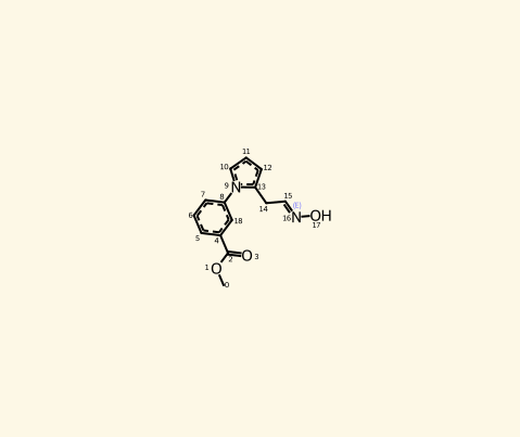 COC(=O)c1cccc(-n2cccc2C/C=N/O)c1